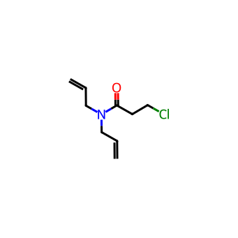 C=CCN(CC=C)C(=O)CCCl